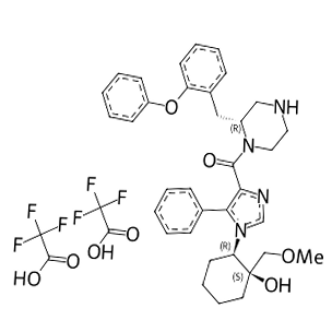 COC[C@]1(O)CCCC[C@H]1n1cnc(C(=O)N2CCNC[C@H]2Cc2ccccc2Oc2ccccc2)c1-c1ccccc1.O=C(O)C(F)(F)F.O=C(O)C(F)(F)F